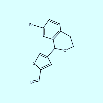 O=Cc1cc(C2OCCc3ccc(Br)cc32)cs1